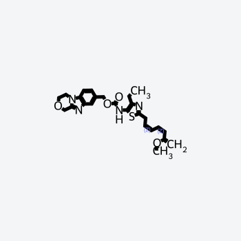 C=C(/C=C\C=C/Cc1nc(CC)c(NC(=O)OCc2ccc3c(c2)nc2n3CCOC2)s1)OC